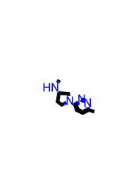 CNC1CCN(c2ccc(C)nn2)C1